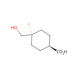 O=C(O)[C@H]1CC[C@@](F)(CO)CC1